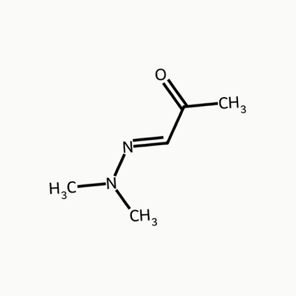 CC(=O)/C=N/N(C)C